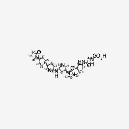 O=C(O)NCC(=O)Nc1ccc(CN2CCN(c3cncc(Nc4ccc(-c5ccc(N6CCCC6=O)cc5)cn4)c3)C2=O)cc1